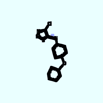 Clc1nss/c1=N\c1ccc(Oc2ccccc2)cc1